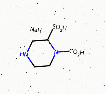 O=C(O)N1CCNCC1S(=O)(=O)O.[NaH]